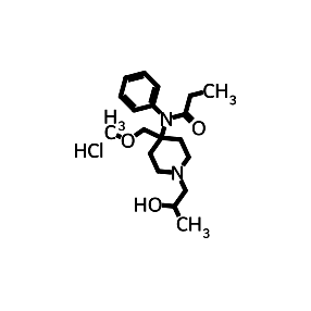 CCC(=O)N(c1ccccc1)C1(COC)CCN(CC(C)O)CC1.Cl